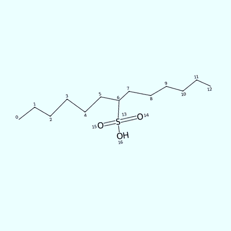 CCCCCCC(CCCCCC)S(=O)(=O)O